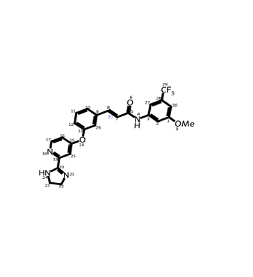 COc1cc(NC(=O)/C=C/c2cccc(Oc3ccnc(C4=NCCN4)c3)c2)cc(C(F)(F)F)c1